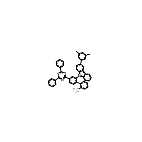 Cc1cc(C)cc(-c2ccc3c(c2)c2ccccc2n3-c2cc(-c3nc(-c4ccccc4)nc(-c4ccccc4)n3)ccc2-c2ccccc2C(F)(F)F)c1